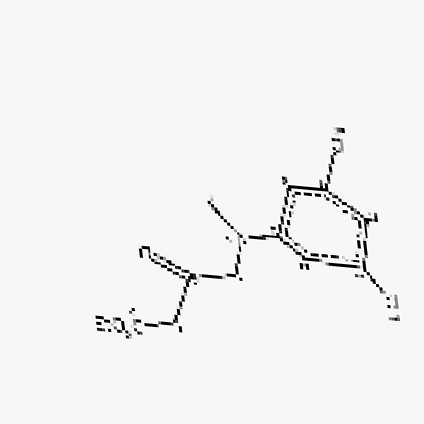 CCOC(=O)CC(=O)CN(C)c1cc(Cl)cc(Cl)c1